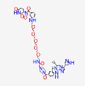 O=C(CN1CCN(C(=O)c2ccc(Nc3nc(C4CC4)cn4c(-c5cn[nH]c5)cnc34)c(F)c2)CC1)NCCOCCOCCOCCOCCOCCNc1cccc2c1C(=O)N(C1CCC(=O)NC1=O)C2=O